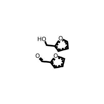 O=Cc1ccco1.OCc1ccco1